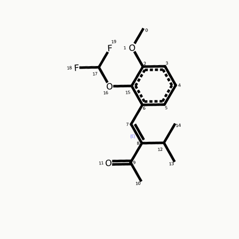 COc1cccc(/C=C(/C(C)=O)C(C)C)c1OC(F)F